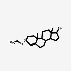 CC12CC[C@@H](OCC=O)C=C1CCC1C2CCC2(C)C(O)CCC12